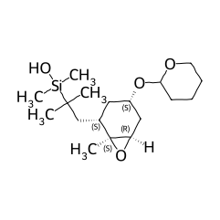 CC(C)(C[C@@H]1C[C@H](OC2CCCCO2)C[C@H]2O[C@@]12C)[Si](C)(C)O